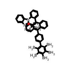 Bc1c(B)c(B)c(-c2ccc(-c3c4ccccc4c(-c4ccccc4-n4c(C(B)(B)B)nc5ccccc54)c4ccccc34)cc2)c(B)c1B